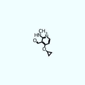 CNc1nccc(OC2CC2)c1C=O